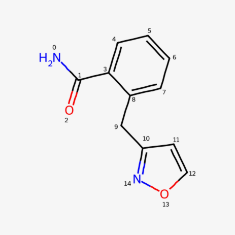 NC(=O)c1ccccc1Cc1ccon1